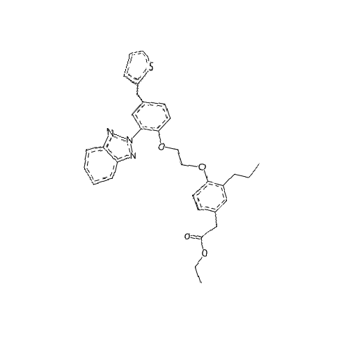 CCCc1cc(CC(=O)OCC)ccc1OCCOc1ccc(-c2cccs2)cc1-n1nc2ccccc2n1